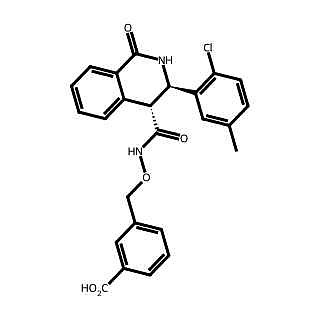 Cc1ccc(Cl)c([C@@H]2NC(=O)c3ccccc3[C@H]2C(=O)NOCc2cccc(C(=O)O)c2)c1